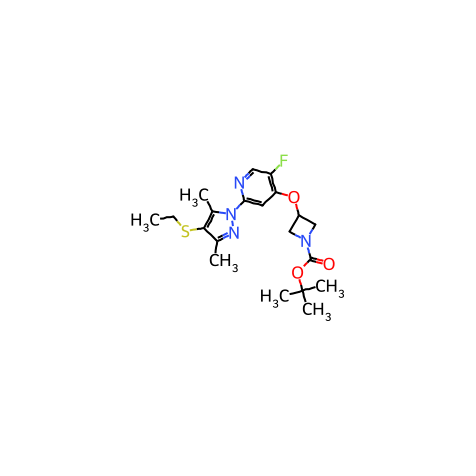 CCSc1c(C)nn(-c2cc(OC3CN(C(=O)OC(C)(C)C)C3)c(F)cn2)c1C